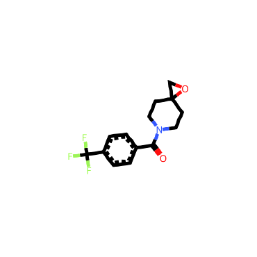 O=C(c1ccc(C(F)(F)F)cc1)N1CCC2(CC1)CO2